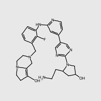 NCCC1CC(O)CN1c1ncc(-c2ccnc(Nc3cccc(CN4CCN5CCC(O)=C5C4)c3F)c2)cn1